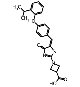 CC(C)c1ccccc1Oc1ccc(C=C2SC(N3CC(C(=O)O)C3)=NC2=O)cc1